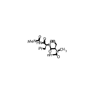 CCCC(=O)N(C)[C@H](CO)C(=O)N(C)[C@@H](CC(C)C)C(=O)NC(=O)NC